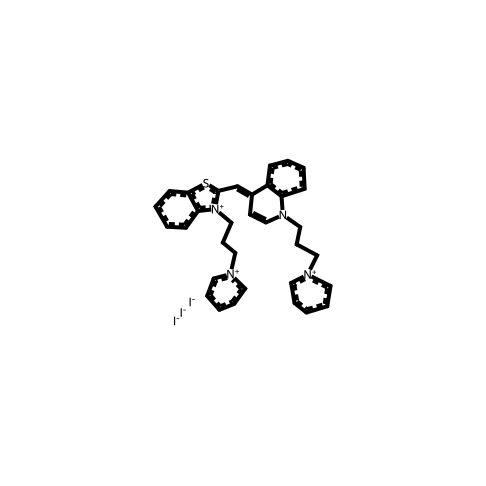 C1=CN(CCC[n+]2ccccc2)c2ccccc2/C1=C/c1sc2ccccc2[n+]1CCC[n+]1ccccc1.[I-].[I-].[I-]